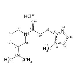 CN(C)C1CCCN(C(=O)CCc2nccn2C)C1.Cl